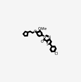 COc1cc(-n2cnc3cc(-c4ccc(Cl)cc4)sc3c2=O)ccc1OCCC1CCCC1